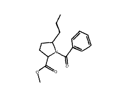 CCCC1CCC(C(=O)OC)N1C(=O)c1ccccc1